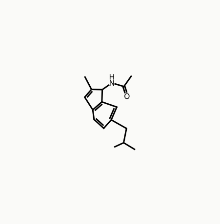 CC(=O)NC1C(C)=Cc2ccc(CC(C)C)cc21